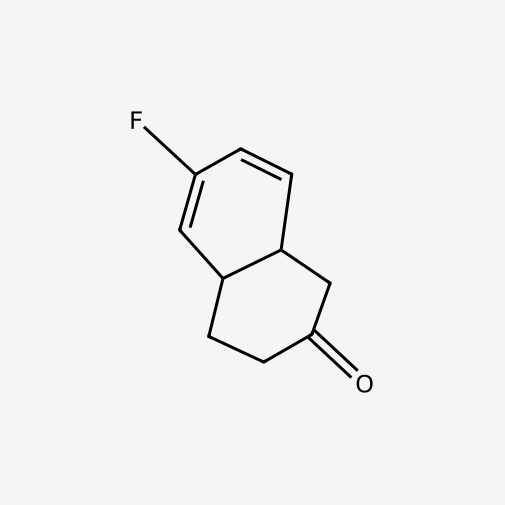 O=C1CCC2C=C(F)C=CC2C1